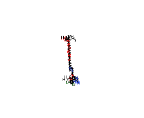 COc1cc(Nc2c(C#N)cnc3cc(OCCCN4CCN(CCCCCCOCCOCCOCCOCCOCCOC(C(=O)O)C(C)(C)C)CC4)c(OC)cc23)c(Cl)cc1Cl